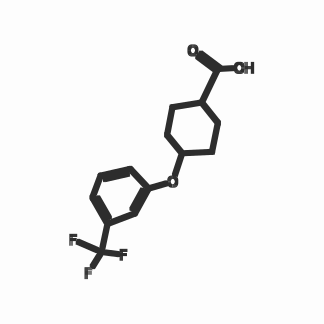 O=C(O)C1CCC(Oc2cccc(C(F)(F)F)c2)CC1